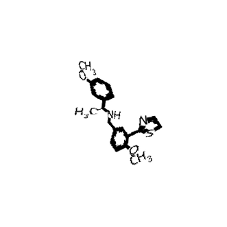 COc1cccc([C@@H](C)NCc2ccc(OC)c(-c3nccs3)c2)c1